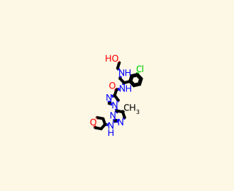 CC1CN=C(NC2CCOCC2)N=C1N1C=NC(C(=O)NC(CNCCO)c2cccc(Cl)c2)C1